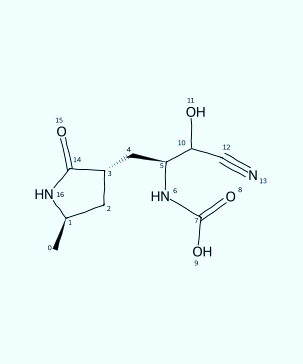 C[C@@H]1C[C@@H](C[C@H](NC(=O)O)C(O)C#N)C(=O)N1